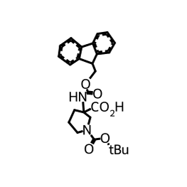 CC(C)(C)OC(=O)N1CCCC(NC(=O)OCC2c3ccccc3-c3ccccc32)(C(=O)O)C1